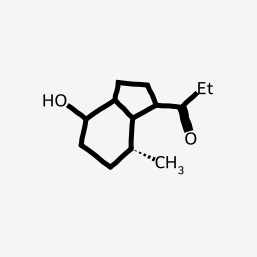 CCC(=O)C1CCC2C(O)CC[C@@H](C)C12